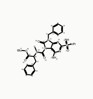 CCCS(=N)(=O)c1nc(N)c2c(n1)n(Cc1ccccc1)c(=O)n2C(=O)N(C)C(Cc1ccccc1)C(=O)OC(C)(C)C